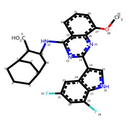 O=C(O)C1C2CCCC(C2)CC1Nc1nc(-c2c[nH]c3c(F)cc(F)cc23)nc2c(OC(F)(F)F)cccc12